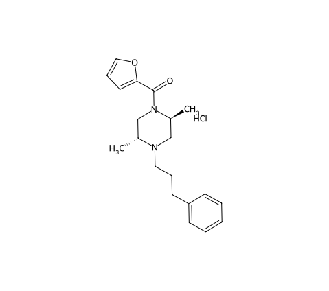 C[C@@H]1CN(C(=O)c2ccco2)[C@@H](C)CN1CCCc1ccccc1.Cl